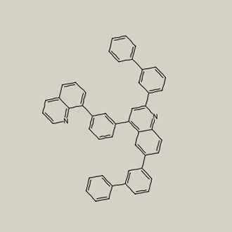 c1ccc(-c2cccc(-c3ccc4nc(-c5cccc(-c6ccccc6)c5)cc(-c5cccc(-c6cccc7cccnc67)c5)c4c3)c2)cc1